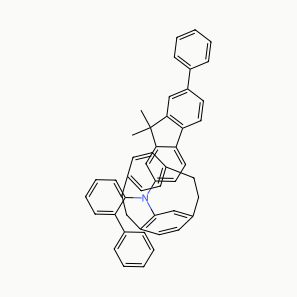 CC1(C)c2cc(-c3ccccc3)ccc2-c2ccc(N(c3cc4ccc3CCc3ccc(cc3)CC4)c3ccccc3-c3ccccc3)cc21